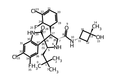 CC(C)(C)C[C@@H]1N[C@@H](C(=O)N[C@H]2C[C@@](C)(O)C2)[C@H](C2C=CC=C(Cl)C2F)[C@]12C(=O)Nc1cc(Cl)c(F)cc12